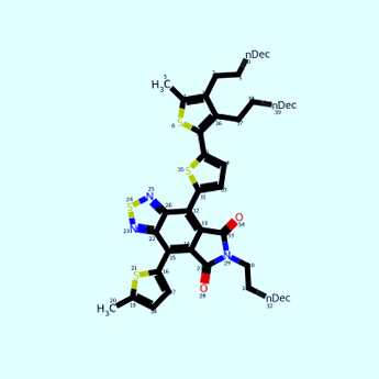 CCCCCCCCCCCCc1c(C)sc(-c2ccc(-c3c4c(c(-c5ccc(C)s5)c5nsnc35)C(=O)N(CCCCCCCCCCCC)C4=O)s2)c1CCCCCCCCCCCC